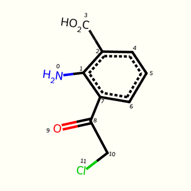 Nc1c(C(=O)O)cccc1C(=O)CCl